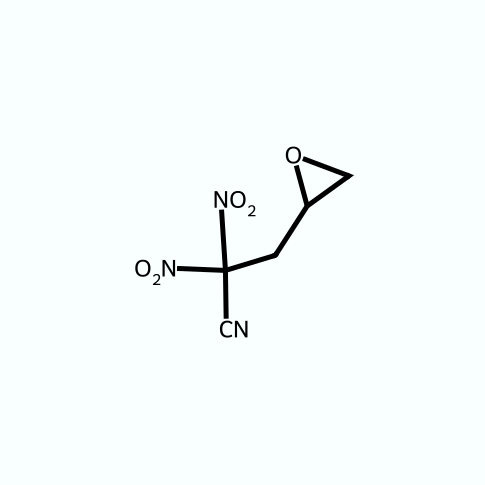 N#CC(CC1CO1)([N+](=O)[O-])[N+](=O)[O-]